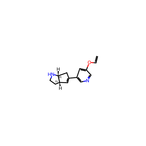 C=COc1cncc(C2=C[C@@H]3CCN[C@@H]3C2)c1